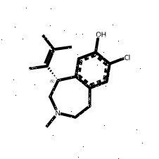 CC(C)=C(C)[C@H]1CN(C)CCc2cc(Cl)c(O)cc21